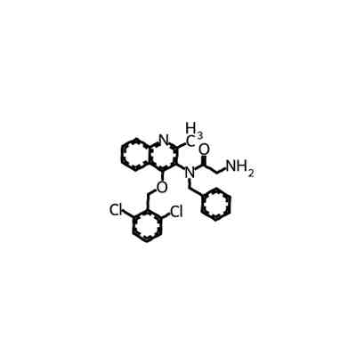 Cc1nc2ccccc2c(OCc2c(Cl)cccc2Cl)c1N(Cc1ccccc1)C(=O)CN